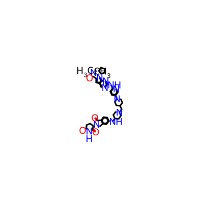 CN(C)C(=O)c1cc2cnc(Nc3ccc(N4CCC(CN5CCC(Nc6ccc7c(c6)CN(C6CCC(=O)NC6=O)C7=O)CC5)CC4)cn3)nc2n1C1CCCC1